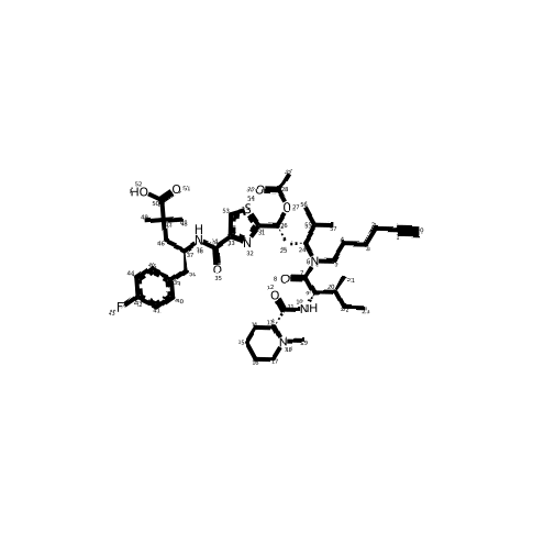 C#CCCCCN(C(=O)[C@@H](NC(=O)[C@H]1CCCCN1C)[C@@H](C)CC)[C@H](C[C@@H](OC(C)=O)c1nc(C(=O)N[C@@H](Cc2ccc(F)cc2)CC(C)(C)C(=O)O)cs1)C(C)C